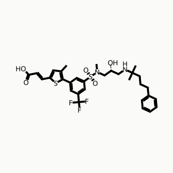 Cc1cc(/C=C/C(=O)O)sc1-c1cc(C(F)(F)F)cc(S(=O)(=O)N(C)C[C@H](O)CNC(C)(C)CCCc2ccccc2)c1